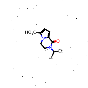 CCC(CC)N1CCn2c(C(=O)O)ccc2C1=O